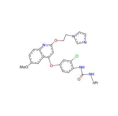 CCCNC(=O)Nc1ccc(Oc2cc(OCCn3ccnc3)nc3ccc(OC)cc23)cc1Cl